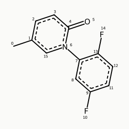 Cc1ccc(=O)n(-c2cc(F)ccc2F)c1